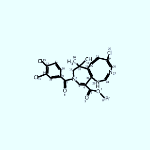 CC(C)OC(=O)C1=CN(C(=O)c2ccc(Cl)c(Cl)c2)CC(C)(C)c2ccc(Cl)cnc[nH]c21